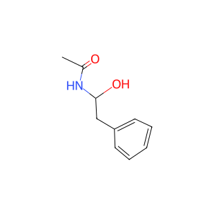 CC(=O)NC(O)Cc1ccccc1